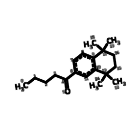 CCCCC(=O)c1ccc2c(c1)C(C)(C)CCC2(C)C